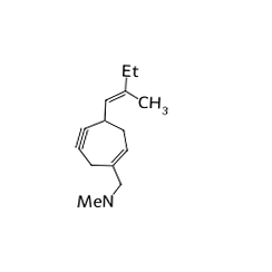 CCC(C)=CC1C#CCC(CNC)=CC1